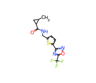 CC1CC1C(=O)NCc1ccc(-c2noc(C(F)(F)F)n2)s1